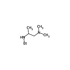 CCNC(C)CN(C)C